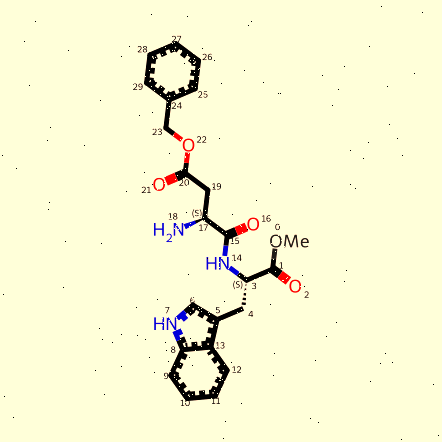 COC(=O)[C@H](Cc1c[nH]c2ccccc12)NC(=O)[C@@H](N)CC(=O)OCc1ccccc1